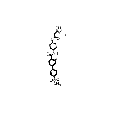 CC(C)CC(=O)O[C@H]1CC[C@H](NC(=O)c2ccc(-c3ccc(S(C)(=O)=O)cc3)cc2F)CC1